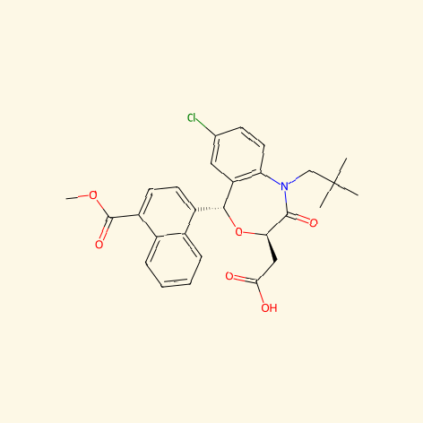 COC(=O)c1ccc([C@H]2O[C@H](CC(=O)O)C(=O)N(CC(C)(C)C)c3ccc(Cl)cc32)c2ccccc12